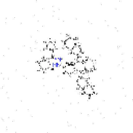 c1ccc(C(=NNc2ccc3c(-c4ccc5ccccc5c4)c4ccccc4c(-c4ccc5ccccc5c4)c3c2)c2ccccc2)cc1